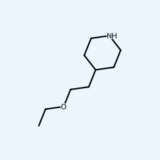 CCOCCC1CCNCC1